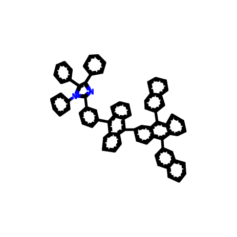 c1ccc(-c2nc(-c3cccc(-c4c5ccccc5c(-c5ccc6c(-c7ccc8ccccc8c7)c7ccccc7c(-c7ccc8ccccc8c7)c6c5)c5ccccc45)c3)n(-c3ccccc3)c2-c2ccccc2)cc1